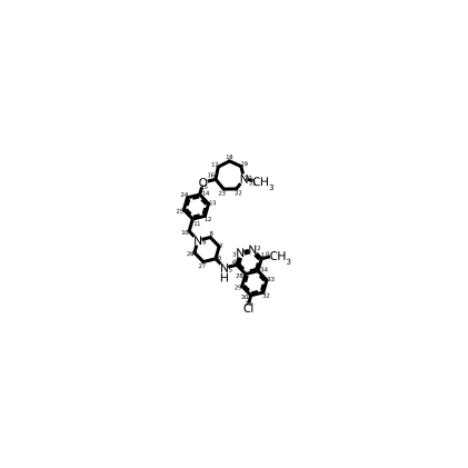 Cc1nnc(NC2CCN(Cc3ccc(OC4CCCN(C)CC4)cc3)CC2)c2cc(Cl)ccc12